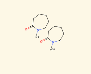 CCCCN1CCCCCC1=O.CCCN1CCCCCC1=O